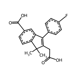 CC1(C)C(CC(=O)O)=C(c2ccc(F)cc2)c2cc(C(=O)O)ccc21